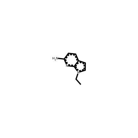 CCn1ccc2ccc(N)nc21